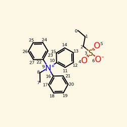 CCCS(=O)(=O)[O-].CC[N+](c1ccccc1)(c1ccccc1)c1ccccc1